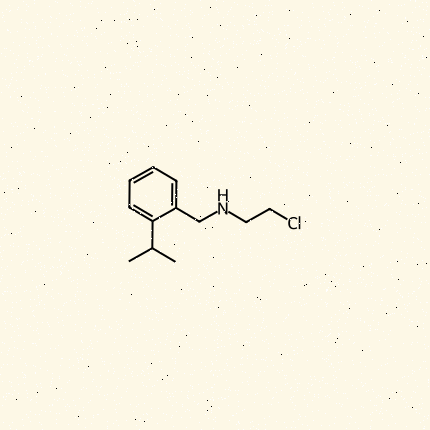 CC(C)c1ccccc1CNCCCl